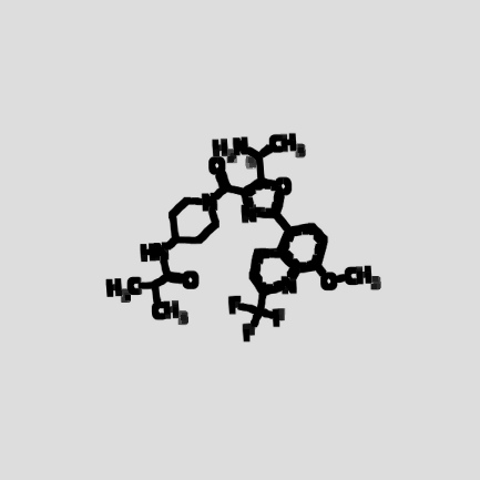 COc1ccc(-c2nc(C(=O)N3CCC(NC(=O)C(C)C)CC3)c([C@H](C)N)o2)c2ccc(C(F)(F)F)nc12